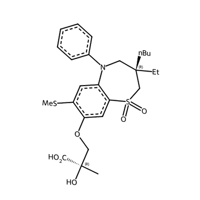 CCCC[C@]1(CC)CN(c2ccccc2)c2cc(SC)c(OC[C@@](C)(O)C(=O)O)cc2S(=O)(=O)C1